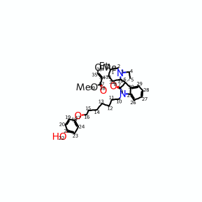 CC[C@H]1CN2CC[C@]3(C(=O)N(CCCCCCCOc4ccc(O)cc4)c4ccccc43)C2C[C@@H]1/C(=C\OC)C(=O)OC